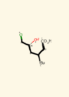 CC(C)(C)C(CC(=O)O)C[C@@H](O)CCl